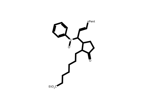 CCCCC/C=C/C(C1CCC(=O)C1CCCCCCC(=O)OCC)[S+]([O-])c1ccccc1